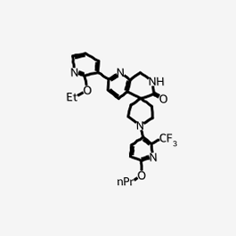 CCCOc1ccc(N2CCC3(CC2)C(=O)NCc2nc(-c4cccnc4OCC)ccc23)c(C(F)(F)F)n1